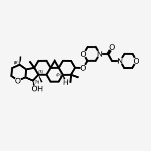 C[C@@H]1CCOC2C1C1(C)CCC34CC35CCC(OC3CN(C(=O)CN6CCOCC6)CCO3)C(C)(C)[C@@H]5CCC4[C@]1(C)[C@H]2O